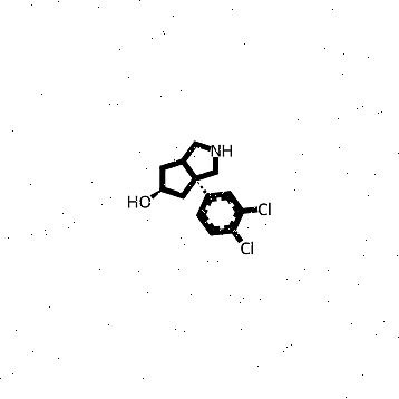 O[C@H]1CC2CNC[C@@]2(c2ccc(Cl)c(Cl)c2)C1